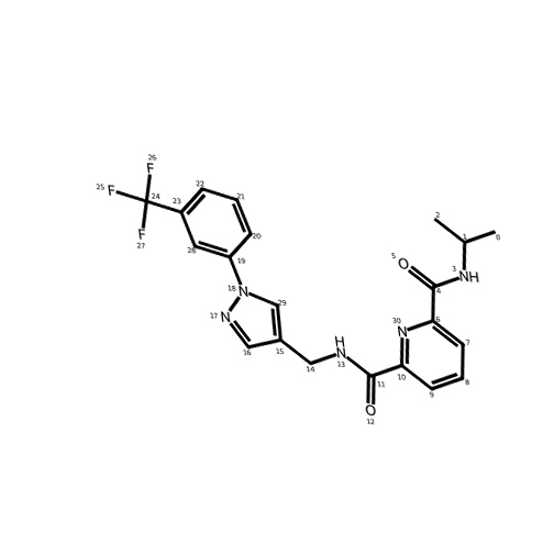 CC(C)NC(=O)c1cccc(C(=O)NCc2cnn(-c3cccc(C(F)(F)F)c3)c2)n1